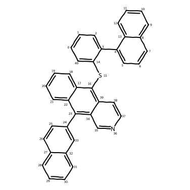 c1ccc(-c2cccc3ccccc23)c(Sc2c3ccccc3c(-c3ccc4ccccc4c3)c3cnccc23)c1